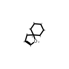 C1=COC2(C1)CCCCC2